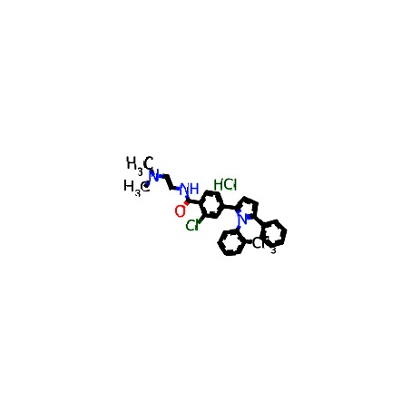 CN(C)CCNC(=O)c1ccc(-c2ccc(-c3ccccc3)n2-c2ccccc2C(F)(F)F)cc1Cl.Cl